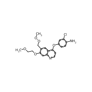 COCCOc1cc2nccc(Oc3ccc(N)c(Cl)c3)c2cc1COOC